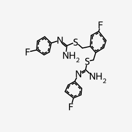 N/C(=N\c1ccc(F)cc1)SCc1ccc(F)cc1CS/C(N)=N/c1ccc(F)cc1